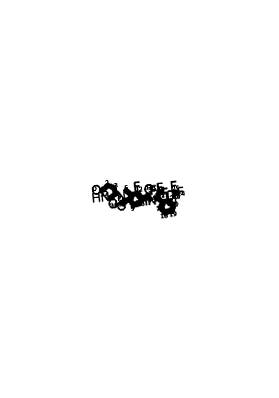 O=C1CCC(N2Cc3c(ccc(C(=O)N[C@H](c4ccccc4OC(F)(F)F)C(F)(F)F)c3F)C2=O)C(=O)N1